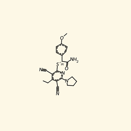 CCc1c(C#N)c(S[C@@H](C(N)=O)c2ccc(OC)cc2)nc(N2CCCC2)c1C#N